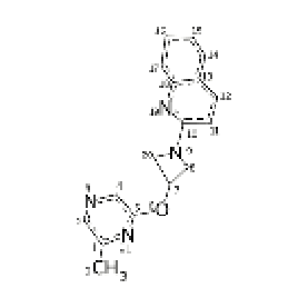 Cc1cncc(OC2CN(c3ccc4ccccc4n3)C2)n1